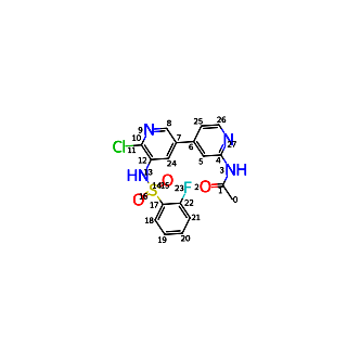 CC(=O)Nc1cc(-c2cnc(Cl)c(NS(=O)(=O)c3ccccc3F)c2)ccn1